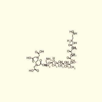 CC(=O)O.CC(=O)O.CC(=O)O.CC(=O)O.CC(=O)O.CC(=O)O.CC(=O)O.NCCN.NCCNO.O=C(O)CN(CCN(CC(=O)O)CC(=O)O)CC(=O)O